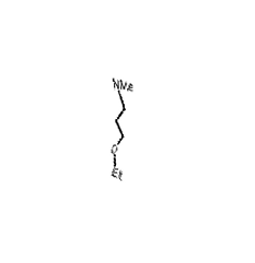 [CH2]COCCCNC